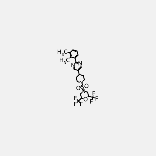 Cc1cccc(-c2ncc(C3CCN(S(=O)(=O)N4CC(C(F)(F)F)OC(C(F)(F)F)C4)CC3)cn2)c1C